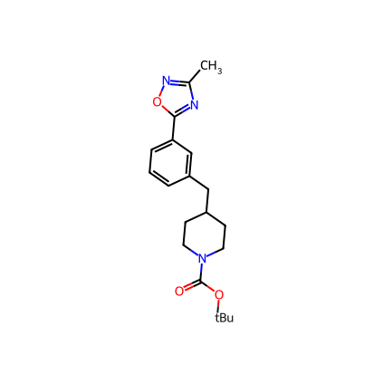 Cc1noc(-c2cccc(CC3CCN(C(=O)OC(C)(C)C)CC3)c2)n1